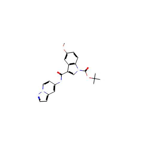 COc1ccc2c(c1)c(C(=O)Nc1ccn3nccc3c1)cn2C(=O)OC(C)(C)C